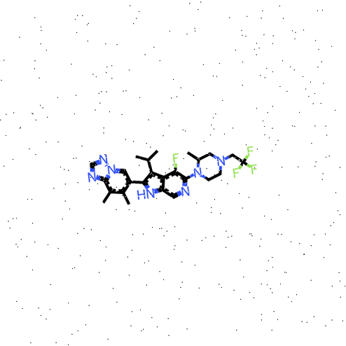 Cc1c(-c2[nH]c3cnc(N4CCN(CC(F)(F)F)CC4C)c(F)c3c2C(C)C)cn2ncnc2c1C